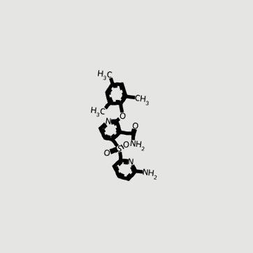 Cc1cc(C)c(Oc2nccc(S(=O)(=O)c3cccc(N)n3)c2C(N)=O)c(C)c1